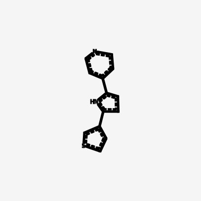 c1cc(-c2ccc(-c3ccsc3)[nH]2)ccn1